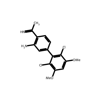 COc1cc(OC)c(Cl)c(-c2ccc(C(C)=N)c(N)c2)c1Cl